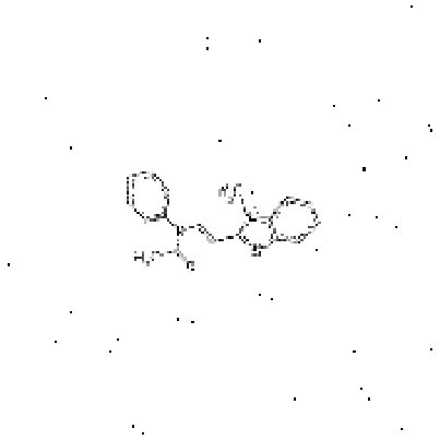 CC(=O)N(/C=C/c1sc2ccccc2[n+]1C)c1ccccc1